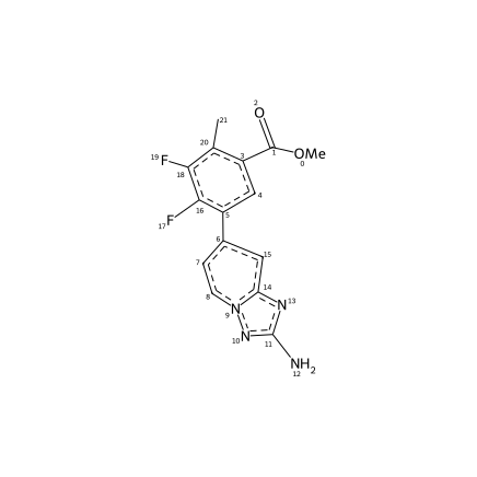 COC(=O)c1cc(-c2ccn3nc(N)nc3c2)c(F)c(F)c1C